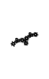 O=C(OCc1ccccc1)OCc1ccc(N(c2ccccc2)c2ccc(COC(=O)OCc3ccccc3)cc2)cc1